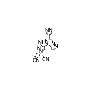 Cn1cc(-c2cn3nccc3c(-c3cn([C@]4(CC#N)C[C@](C)(C#N)C4)nc3N)n2)cn1